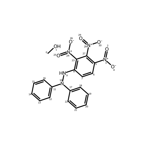 CO.O=[N+]([O-])c1ccc(NN(c2ccccc2)c2ccccc2)c([N+](=O)[O-])c1[N+](=O)[O-]